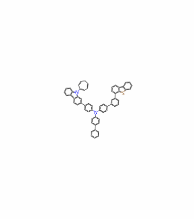 C1=CCC=CC(n2c3ccccc3c3ccc(-c4ccc(N(c5ccc(-c6ccccc6)cc5)c5ccc(-c6cccc(-c7cccc8c7sc7ccccc78)c6)cc5)cc4)cc32)=C1